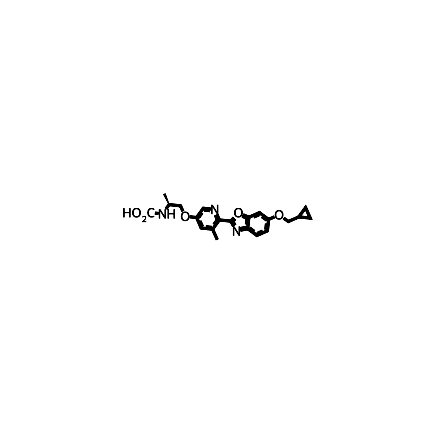 Cc1cc(OC[C@H](C)NC(=O)O)cnc1-c1nc2ccc(OCC3CC3)cc2o1